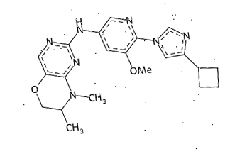 COc1cc(Nc2ncc3c(n2)N(C)C(C)CO3)cnc1-n1cnc(C2CCC2)c1